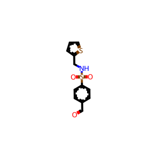 O=Cc1ccc(S(=O)(=O)NCc2cccs2)cc1